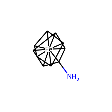 N[C]12[CH]3[CH]4[CH]5[CH]1[Fe]45321678[CH]2[CH]1[CH]6[CH]7[CH]28